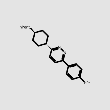 CCCCC[C@H]1CC[C@H](c2ccc(-c3ccc(CCC)cc3)nn2)CC1